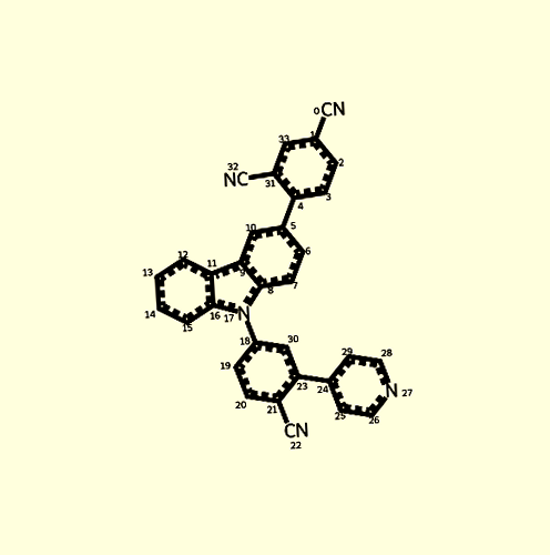 N#Cc1ccc(-c2ccc3c(c2)c2ccccc2n3-c2ccc(C#N)c(-c3ccncc3)c2)c(C#N)c1